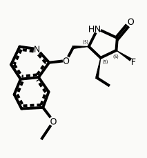 CC[C@@H]1[C@H](F)C(=O)N[C@@H]1COc1nccc2ccc(OC)cc12